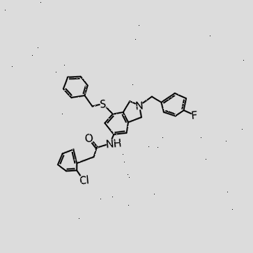 O=C(Cc1ccccc1Cl)Nc1cc2c(c(SCc3ccccc3)c1)CN(Cc1ccc(F)cc1)C2